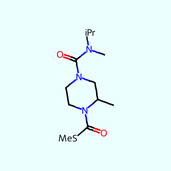 CSC(=O)N1CCN(C(=O)N(C)C(C)C)CC1C